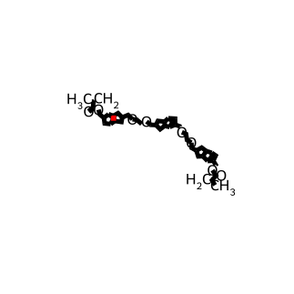 C=C(C)C(=O)OCC1CC2CC1C1CC(COCCOCC3CC4C5CC(COCCOCC6CC7C8CC(COC(=O)C(=C)C)C(C8)C7C6)C(C5)C4C3)CC21